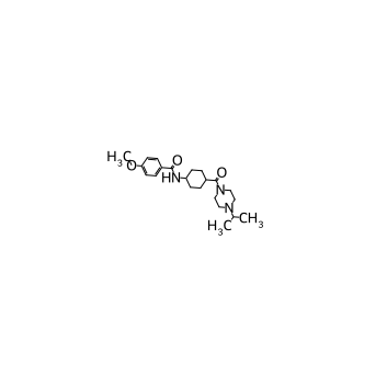 COc1ccc(C(=O)NC2CCC(C(=O)N3CCN(C(C)C)CC3)CC2)cc1